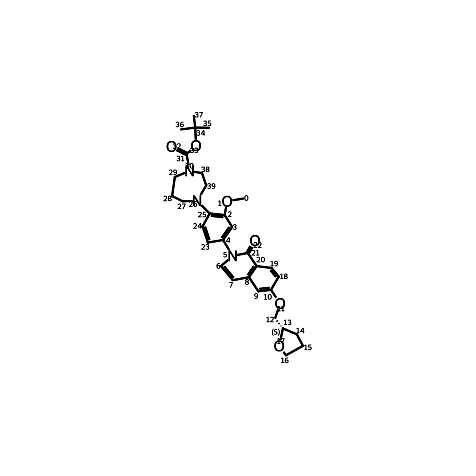 COc1cc(-n2ccc3cc(OC[C@@H]4CCCO4)ccc3c2=O)ccc1N1CCCN(C(=O)OC(C)(C)C)CC1